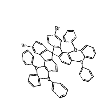 Brc1ccc2c(c1)-c1c(ccc3c1B(c1ccccc1)c1ccccc1B3c1ccccc1)C21c2ccc(Br)cc2-c2c1ccc1c2B(c2ccccc2)c2ccccc2B1c1ccccc1